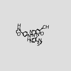 C#Cc1cc2cnc(Nc3ccc(C4CNCCO4)cc3)nc2n(Cc2ccncc2-c2nccs2)c1=O